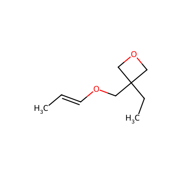 CC=COCC1(CC)COC1